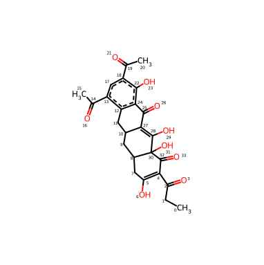 CCC(=O)C1=C(O)CC2CC3Cc4c(C(C)=O)cc(C(C)=O)c(O)c4C(=O)C3=C(O)C2(O)C1=O